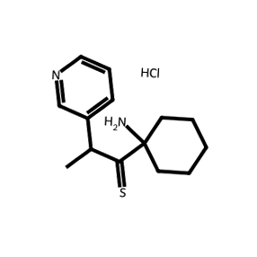 CC(C(=S)C1(N)CCCCC1)c1cccnc1.Cl